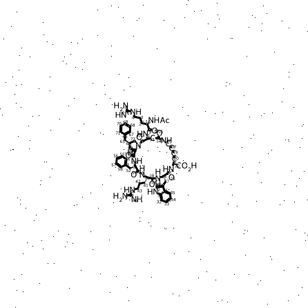 CC(=O)N[C@@H](CCCNC(=N)N)C(=O)N[C@H]1CC(=O)NCCCC[C@@H](C(=O)O)NC(=O)[C@H](Cc2c[nH]c3ccccc23)NC(O)[C@H](CCCNC(=N)N)NC(=O)[C@@H](Cc2ccccc2)NC(=O)[C@@H]2C[C@@H](Cc3ccccc3)CN2C1=O